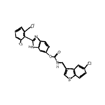 O=C(NCc1csc2ccc(Cl)cc12)Oc1ccc2nc(-c3c(Cl)cccc3Cl)[nH]c2c1